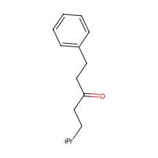 C[C](C)CCC(=O)CCc1ccccc1